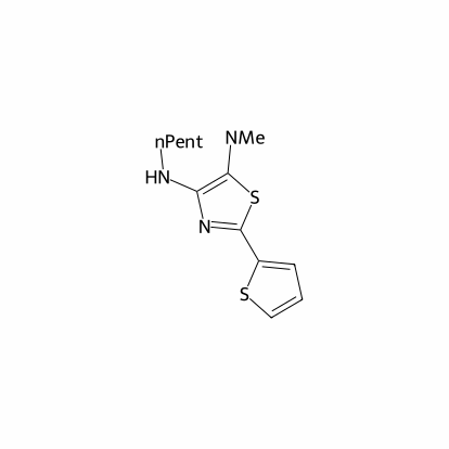 CCCCCNc1nc(-c2cccs2)sc1NC